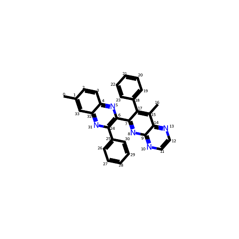 Cc1ccc2nc(-c3nc4nccnc4c(C)c3-c3ccccc3)c(-c3ccccc3)nc2c1